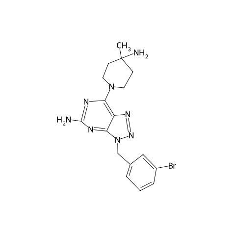 CC1(N)CCN(c2nc(N)nc3c2nnn3Cc2cccc(Br)c2)CC1